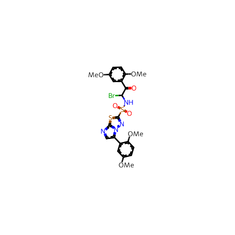 COc1ccc(OC)c(C(=O)C(Br)NS(=O)(=O)c2nn3c(-c4cc(OC)ccc4OC)cnc3s2)c1